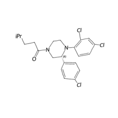 CC(C)CCC(=O)N1CCN(c2ccc(Cl)cc2Cl)[C@H](c2ccc(Cl)cc2)C1